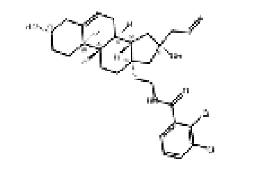 C=CC[C@]1(O)C[C@H]2[C@@H]3CC=C4C[C@@H](O)CC[C@]4(C)[C@H]3CC[C@]2(CCNC(=O)c2cccc(Cl)c2Cl)C1